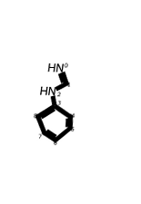 N=CNc1[c]cccc1